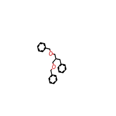 c1ccc(COCC(COCc2ccccc2)Cc2ccccc2)cc1